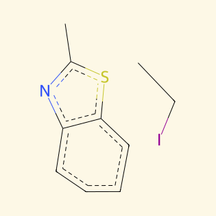 CCI.Cc1nc2ccccc2s1